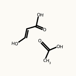 CC(=O)O.O=C(O)C=CO